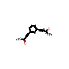 CCCC(=O)C#Cc1cccc(C#CC(=O)CCC)c1